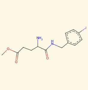 COC(=O)CCC(N)C(=O)NCc1ccc(I)cc1